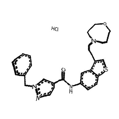 Cl.O=C(Nc1ccc2scc(CN3CCOCC3)c2c1)c1cnn(Cc2ccccc2)c1